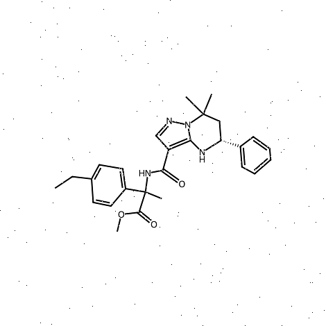 CCc1ccc(C(C)(NC(=O)c2cnn3c2N[C@@H](c2ccccc2)CC3(C)C)C(=O)OC)cc1